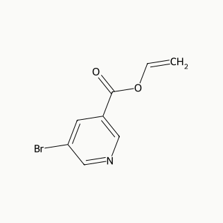 C=COC(=O)c1cncc(Br)c1